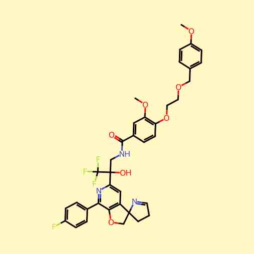 COc1ccc(COCCOc2ccc(C(=O)NCC(O)(c3cc4c(c(-c5ccc(F)cc5)n3)OCC43CCC=N3)C(F)(F)F)cc2OC)cc1